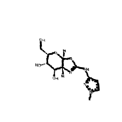 Cn1ccc(NC2=N[C@@H]3[C@@H](O)[C@H](O)[C@@H](CO)O[C@@H]3S2)n1